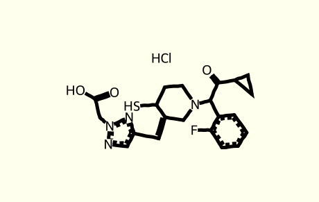 Cl.O=C(O)Cn1ncc(C=C2CN(C(C(=O)C3CC3)c3ccccc3F)CCC2S)n1